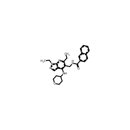 CCc1nc2c(cnn2CC)c(NC2CCOCC2)c1CNC(=O)c1ccc2ccccc2c1